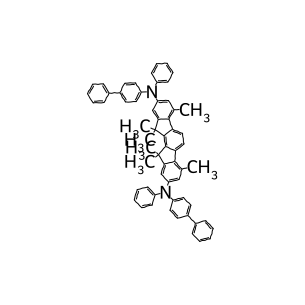 Cc1cc(N(c2ccccc2)c2ccc(-c3ccccc3)cc2)cc2c1-c1ccc3c(c1C2(C)C)C(C)(C)c1cc(N(c2ccccc2)c2ccc(-c4ccccc4)cc2)cc(C)c1-3